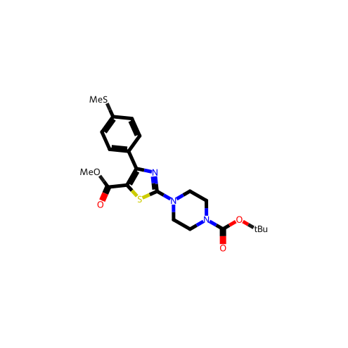 COC(=O)c1sc(N2CCN(C(=O)OC(C)(C)C)CC2)nc1-c1ccc(SC)cc1